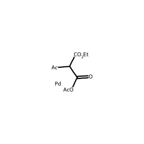 CCOC(=O)C(C(C)=O)C(=O)OC(C)=O.[Pd]